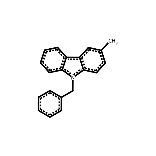 Cc1ccc2c(c1)c1ccccc1n2Cc1ccccc1